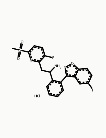 CS(=O)(=O)c1ccc(F)c(CC(N)c2ccccc2-c2noc3ccc(F)cc23)n1.Cl